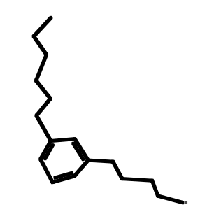 [CH2]CCCCc1cccc(CCCCCC)c1